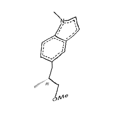 COC[C@H](C)c1ccc2c(ccn2C)c1